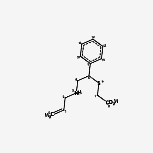 C=CCNCC(SCC(=O)O)c1ccccc1